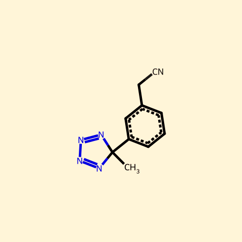 CC1(c2cccc(CC#N)c2)N=NN=N1